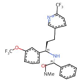 CNC(=O)[C@H](N[C@H](CCc1ccc(C(F)(F)F)nc1)c1cccc(OC(F)(F)F)c1)c1ccccc1